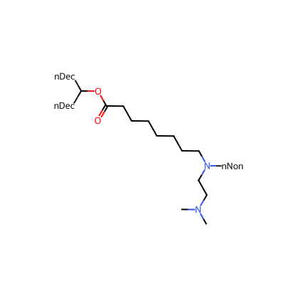 CCCCCCCCCCC(CCCCCCCCCC)OC(=O)CCCCCCCN(CCCCCCCCC)CCN(C)C